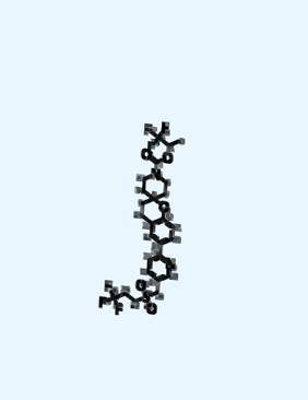 CC(OC(=O)N1CCC2(CCc3cc(-c4ccc(CS(=O)(=O)CCC(F)(F)F)cn4)ccc3O2)CC1)C(F)(F)F